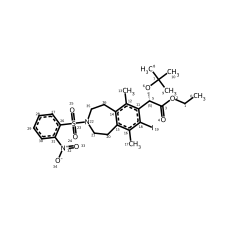 CCOC(=O)[C@@H](OC(C)(C)C)c1c(C)c2c(c(C)c1I)CCN(S(=O)(=O)c1ccccc1[N+](=O)[O-])CC2